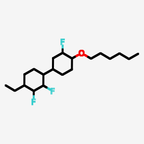 CCCCCCOC1CCC(C2CCC(CC)C(F)C2F)CC1F